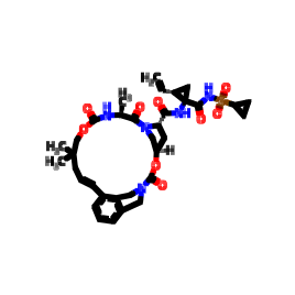 C=C[C@@H]1C[C@]1(NC(=O)[C@@H]1C[C@@H]2CN1C(=O)[C@H](C)NC(=O)OCC(C)(C)C/C=C/c1cccc3c1CN(C3)C(=O)O2)C(=O)NS(=O)(=O)C1CC1